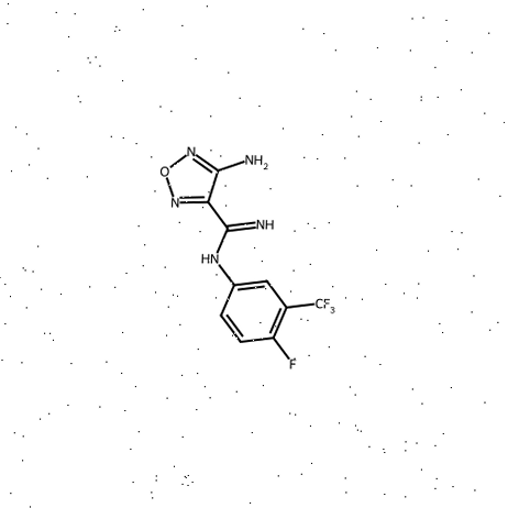 N=C(Nc1ccc(F)c(C(F)(F)F)c1)c1nonc1N